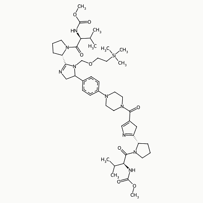 COC(=O)N[C@H](C(=O)N1CCC[C@H]1C1=NC=C(C(=O)N2CCN(c3ccc(C4CN=C([C@@H]5CCCN5C(=O)[C@@H](NC(=O)OC)C(C)C)N4COCC[Si](C)(C)C)cc3)CC2)C1)C(C)C